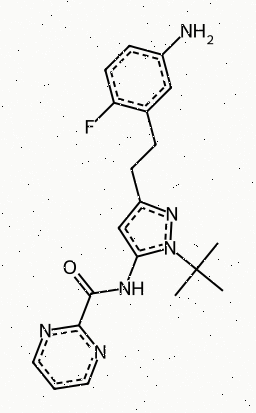 CC(C)(C)n1nc(CCc2cc(N)ccc2F)cc1NC(=O)c1ncccn1